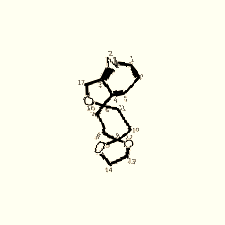 c1cnc2c(c1)C1(CCC3(CC1)OCCO3)OC2